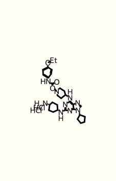 CCOc1ccc(NC(=O)ON2CCC(Nc3nc(N[C@H]4CC[C@H](N)CC4)nc4c3ncn4C3CCCC3)CC2)cc1.Cl.Cl